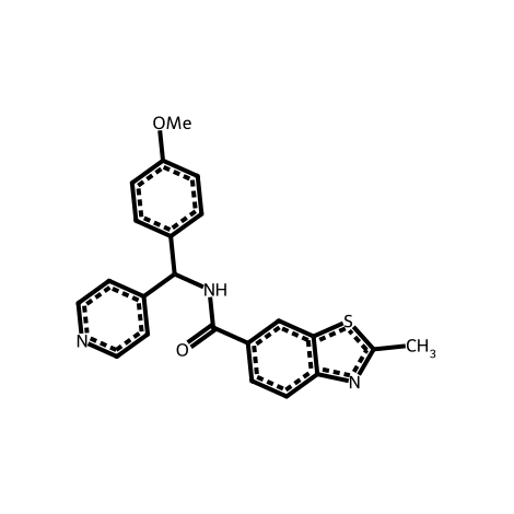 COc1ccc(C(NC(=O)c2ccc3nc(C)sc3c2)c2ccncc2)cc1